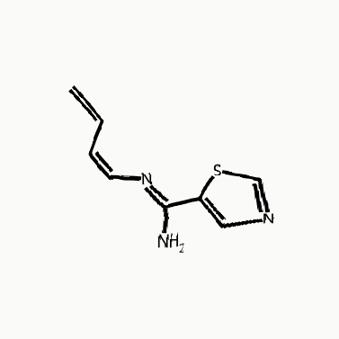 C=C/C=C\N=C(/N)c1cncs1